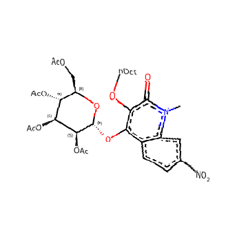 CCCCCCCCOc1c(O[C@H]2O[C@H](COC(C)=O)[C@@H](OC(C)=O)[C@H](OC(C)=O)[C@@H]2OC(C)=O)c2ccc([N+](=O)[O-])cc2n(C)c1=O